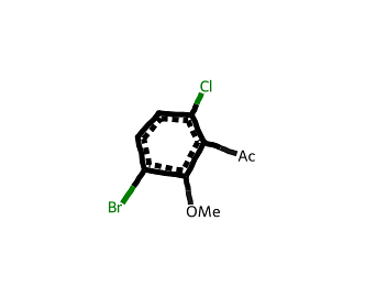 COc1c(Br)ccc(Cl)c1C(C)=O